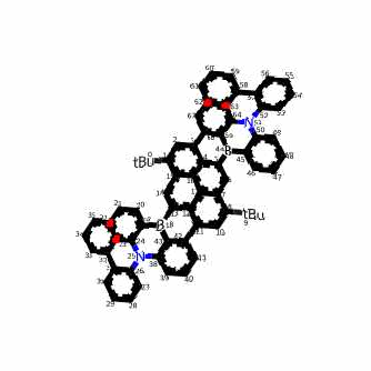 CC(C)(C)c1cc2c3c(cc4c(C(C)(C)C)cc5c6c(cc1c3c46)B1c3ccccc3N(c3ccccc3-c3ccccc3)c3cccc-5c31)B1c3ccccc3N(c3ccccc3-c3ccccc3)c3cccc-2c31